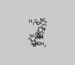 COc1ncccc1-c1ccc(S(=O)(=O)Nc2cccc3cnn(C)c23)cn1